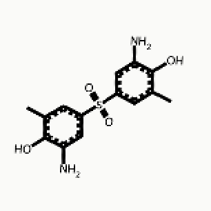 Cc1cc(S(=O)(=O)c2cc(C)c(O)c(N)c2)cc(N)c1O